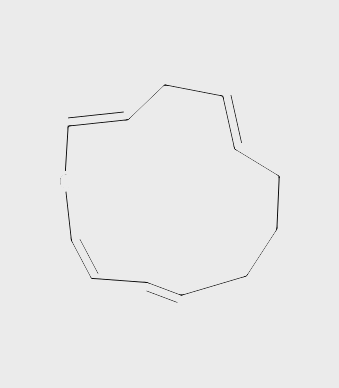 [C]1=C/C/C=C/C/C=C\C=C\CCC/1